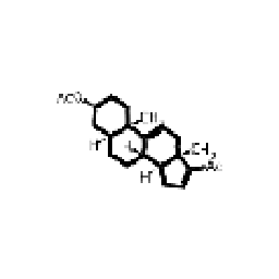 CC(=O)O[C@H]1CC[C@]2(C)C3=CC[C@]4(C)C(C(C)=O)=CC[C@H]4[C@@H]3CC[C@H]2C1